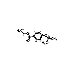 CCOC(=O)c1ccc(OC(C)C)cc1